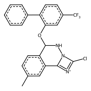 Cc1ccc2c(c1)C1=[N+]=C(Cl)N1NC2Oc1cc(C(F)(F)F)ccc1-c1ccccc1